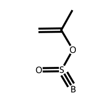 B#S(=O)OC(=C)C